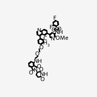 COc1ncc(-c2ccc3nccc(-c4ccc(OCCOCCNc5cccc6c5C(=O)N(C5CCC(=O)NC5=O)C6=O)cc4C)c3c2)cc1NS(=O)(=O)c1ccc(F)cc1F